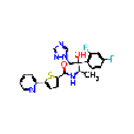 CC(NC(=O)c1ccc(-c2ccccn2)s1)C(O)(Cn1cncn1)c1ccc(F)cc1F